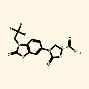 NC(=O)[C@H]1CN(c2ccc3c(c2)sc(=O)n3CC(F)(F)F)C(=O)O1